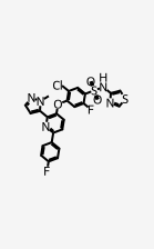 Cn1nccc1-c1nc(-c2ccc(F)cc2)ccc1Oc1cc(F)c(S(=O)(=O)Nc2cscn2)cc1Cl